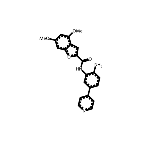 COc1cc(OC)c2cc(C(=O)Nc3cc(-c4ccncc4)ccc3N)oc2c1